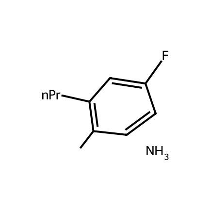 CCCc1cc(F)ccc1C.N